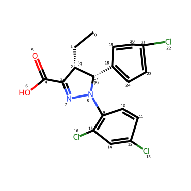 CC[C@H]1C(C(=O)O)=NN(c2ccc(Cl)cc2Cl)[C@H]1c1ccc(Cl)cc1